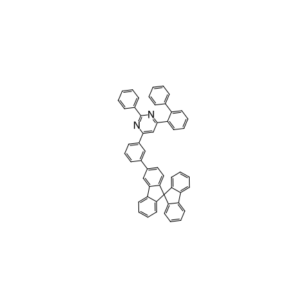 c1ccc(-c2nc(-c3cccc(-c4ccc5c(c4)-c4ccccc4C54c5ccccc5-c5ccccc54)c3)cc(-c3ccccc3-c3ccccc3)n2)cc1